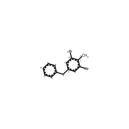 Cc1c(Br)cc(Cc2ccccc2)cc1Br